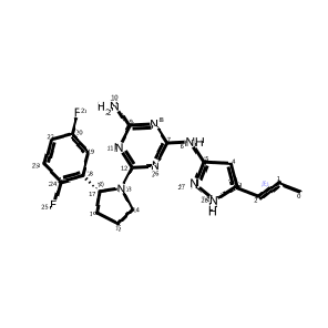 C/C=C/c1cc(Nc2nc(N)nc(N3CCC[C@@H]3c3cc(F)ccc3F)n2)n[nH]1